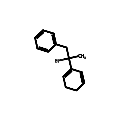 CCC(C)(Cc1ccccc1)C1=CCCC=C1